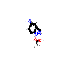 CC(C)(C)C(=O)On1ncc2cc(N)ccc21